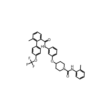 Cc1ccccc1NC(=O)N1CCC(Oc2cccc(NC(=O)c3cccc(C)c3-c3ccc(OC(F)(F)F)cc3)c2)CC1